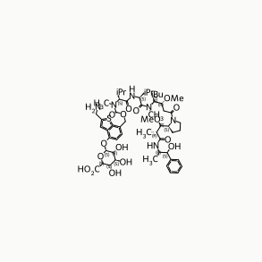 CC[C@H](C)[C@@H]([C@@H](CC(=O)N1CCC[C@H]1[C@H](OC)[C@@H](C)C(=O)N[C@H](C)[C@@H](O)c1ccccc1)OC)N(C)C(=O)[C@@H](NC(=O)[C@H](C(C)C)N(C)C(=O)OCc1ccc(O[C@@H]2O[C@H](C(=O)O)[C@@H](O)[C@H](O)[C@H]2O)c2cc(CN)sc12)C(C)C